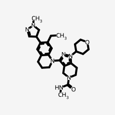 CCc1cc2c(cc1C1C=NN(C)C1)CCCN2c1nn(C2CCOCC2)c2c1CN(C(=O)NC)CC2